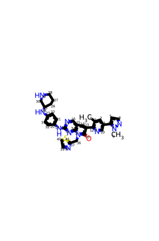 Cc1cc(-c2ccnn2C)cnc1-c1cc2cnc(Nc3ccc(NC4CCCNC4)cc3)nc2n(Cc2nccs2)c1=O